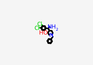 NC(c1cc(Cl)c(Cl)cc1O)C1CCN(Cc2ccccc2)CC1